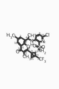 Cc1cc(C(C)Nc2ccc(Cl)nc2S(N)(=O)=O)c2oc(C34CC(C(F)(F)F)(C3)C4)c(C)c(=O)c2c1